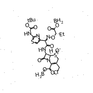 BOC(=O)C1=C(CCl)C[S+]([O-])[C@@H]2[C@H](NC(=O)/C(=N\O[C@@H](CC)C(=O)OB)c3csc(NC(=O)OC(C)(C)C)n3)C(=O)N12